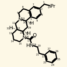 CC(C)Cc1ccc2c(c1)CCN1C[C@@H]3CCCN(C(=O)NCCc4ccccc4)[C@@H]3C[C@H]21